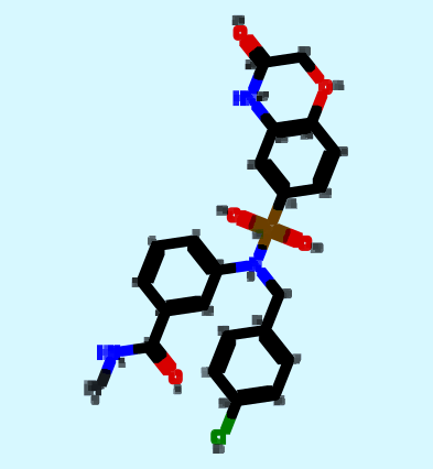 CC(C)NC(=O)c1cccc(N(Cc2ccc(Cl)cc2)S(=O)(=O)c2ccc3c(c2)NC(=O)CO3)c1